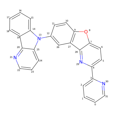 c1ccc(-c2ccc3oc4ccc(-n5c6ccccc6c6ncccc65)cc4c3n2)nc1